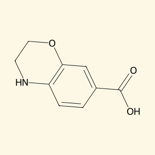 O=C(O)c1ccc2c(c1)OCCN2